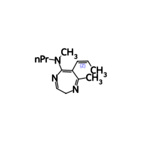 C/C=C\C1=C(N(C)CCC)N=CCN=C1C